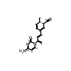 C=C(/C=C/C(/C=C\CC)=C/CC#N)n1ccc(N)nc1=O